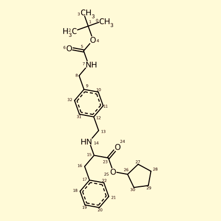 CC(C)(C)OC(=O)NCc1ccc(CNC(Cc2ccccc2)C(=O)OC2CCCC2)cc1